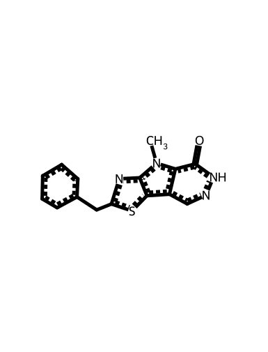 Cn1c2nc(Cc3ccccc3)sc2c2cn[nH]c(=O)c21